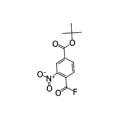 CC(C)(C)OC(=O)c1ccc(C(=O)F)c([N+](=O)[O-])c1